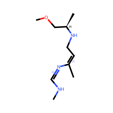 CN/C=N\C(C)=C/CN[C@H](C)COC